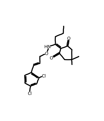 CCCC(NOC/C=C/c1ccc(Cl)cc1Cl)=C1C(=O)CC(C)(C)CC1=O